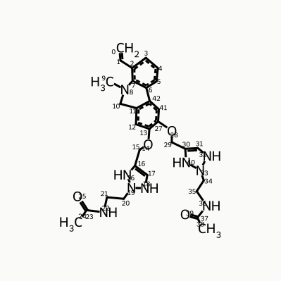 C=Cc1cccc2c1N(C)Cc1cc(OCC3=CNN(CCNC(C)=O)N3)c(OCC3=CNN(CCNC(C)=O)N3)cc1-2